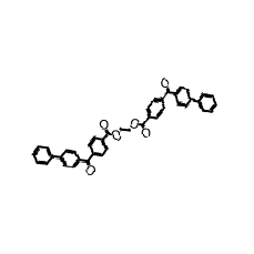 O=C(OCCOC(=O)c1ccc(C(=O)c2ccc(-c3ccccc3)cc2)cc1)c1ccc(C(=O)c2ccc(-c3ccccc3)cc2)cc1